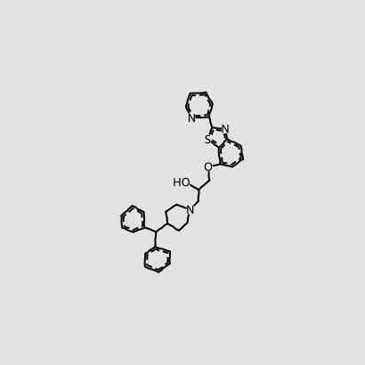 OC(COc1cccc2nc(-c3ccccn3)sc12)CN1CCC(C(c2ccccc2)c2ccccc2)CC1